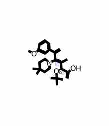 C=C(/C(=C(\C)[C@H](OC(C)(C)C)C(=C)O)N1CCC(C)(C)CC1)c1cccc(OC)c1